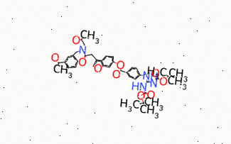 CC(=O)CN(Cc1cccc(C(C)=O)c1)C(=O)Cc1coc2cc(OC(=O)c3ccc(N/C(=N\C(=O)OC(C)(C)C)NC(=O)OC(C)(C)C)cc3)ccc12